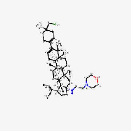 C=C(C)[C@@H]1CC[C@]2(NCCN3CCOCC3)CC[C@]3(C)[C@H](CC[C@@H]4[C@@]5(C)CC=C(C6=CCC(CF)(C(=O)O)CC6)C(C)(C)[C@@H]5CC[C@]43C)[C@@H]12